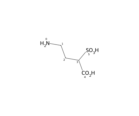 NCCC(C(=O)O)S(=O)(=O)O